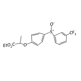 CCOC(=O)C(C)Oc1ccc([S+]([O-])c2cccc(C(F)(F)F)c2)cc1